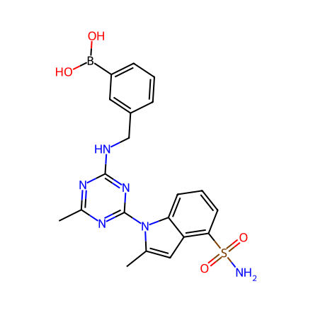 Cc1nc(NCc2cccc(B(O)O)c2)nc(-n2c(C)cc3c(S(N)(=O)=O)cccc32)n1